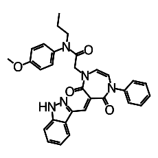 CCCN(C(=O)CN1C=CN(c2ccccc2)C(=O)C(=Cc2n[nH]c3ccccc23)C1=O)c1ccc(OC)cc1